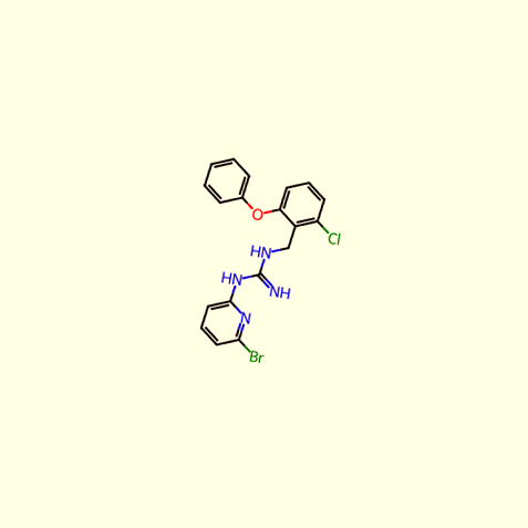 N=C(NCc1c(Cl)cccc1Oc1ccccc1)Nc1cccc(Br)n1